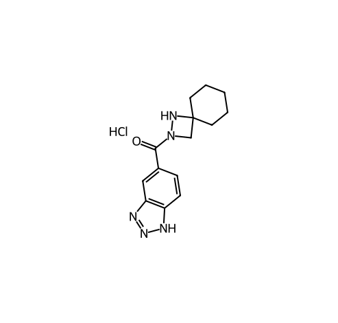 Cl.O=C(c1ccc2[nH]nnc2c1)N1CC2(CCCCC2)N1